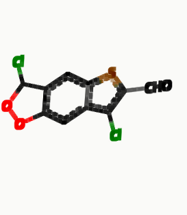 O=Cc1sc2cc3c(cc2c1Cl)OOC3Cl